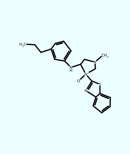 CCCc1cccc(NC2CN(C)C[N+]2([O-])c2nc3ccccc3s2)c1